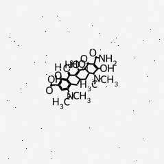 CN(C)c1cc(C(=O)O)c(O)c2c1CC1CC3C(N(C)C)C(O)=C(C(N)=O)C(=O)[C@@]3(O)C(O)=C1C2=O